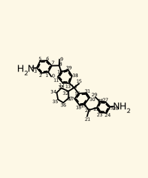 Cc1cc(N)ccc1C(C)c1ccc(C(C)(c2ccc(C(C)c3ccc(N)cc3C)cc2)C2CCCCC2)cc1